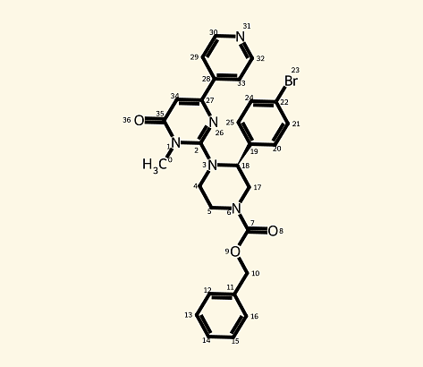 Cn1c(N2CCN(C(=O)OCc3ccccc3)C[C@@H]2c2ccc(Br)cc2)nc(-c2ccncc2)cc1=O